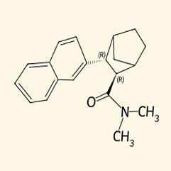 CN(C)C(=O)[C@@H]1C2CCC(C2)[C@H]1c1ccc2ccccc2c1